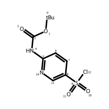 CC(C)(C)OC(=O)Nc1ccc(S(=O)(=O)Cl)cn1